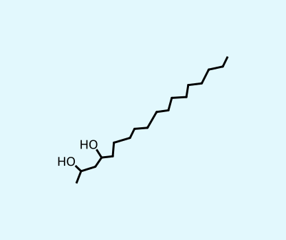 CCCCCCCCCCCCCCC(O)CC(C)O